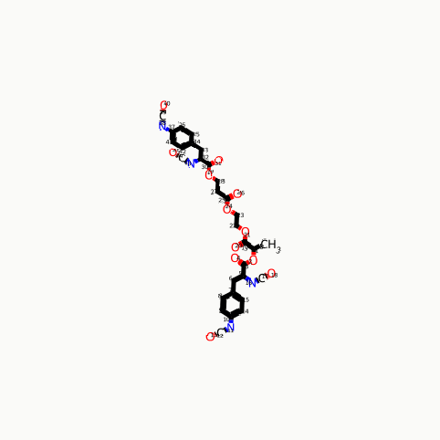 CC(OC(=O)C(Cc1ccc(N=C=O)cc1)N=C=O)C(=O)OCCOC(=O)CCOC(=O)C(Cc1ccc(N=C=O)cc1)N=C=O